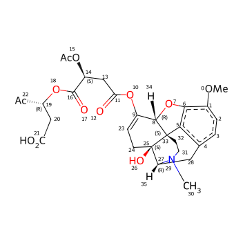 COc1ccc2c3c1O[C@H]1C(OC(=O)C[C@H](OC(C)=O)C(=O)O[C@H](CC(=O)O)C(C)=O)=CC[C@@]4(O)[C@@H](C2)N(C)CC[C@]314